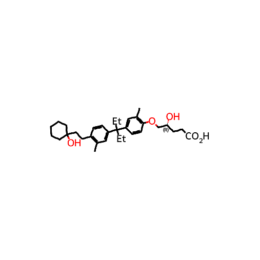 CCC(CC)(c1ccc(CCC2(O)CCCCC2)c(C)c1)c1ccc(OC[C@H](O)CCC(=O)O)c(C)c1